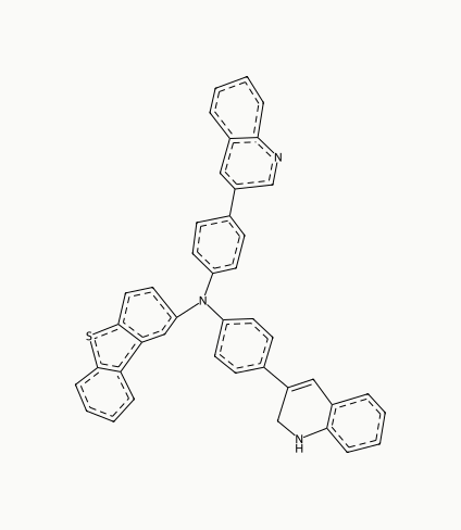 C1=C(c2ccc(N(c3ccc(-c4cnc5ccccc5c4)cc3)c3ccc4sc5ccccc5c4c3)cc2)CNc2ccccc21